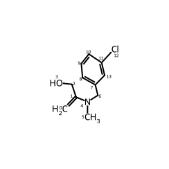 C=C(CO)N(C)Cc1cccc(Cl)c1